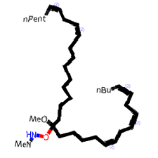 CCCC/C=C\C/C=C\C/C=C\CCCCC(CCCCCCCC/C=C\C/C=C\CCCCC)(OC)ONNC